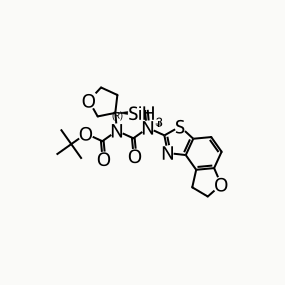 C=[N+](C(=O)N(C(=O)OC(C)(C)C)[C@@]1([SiH3])CCOC1)c1nc2c3c(ccc2s1)OCC3